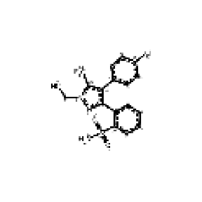 N#CCn1nc(-c2ccccc2S(N)(=O)=O)c(-c2ccc(Cl)cc2)c1C(F)(F)F